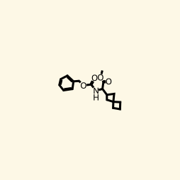 COC(=O)C(NC(=O)OCc1ccccc1)C1CC2(CCC2)C1